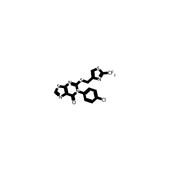 O=c1c2ncsc2nc(SCc2csc(C(F)(F)F)n2)n1-c1ccc(Cl)cc1